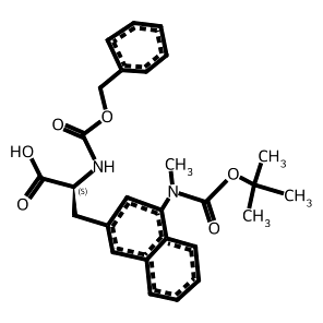 CN(C(=O)OC(C)(C)C)c1cc(C[C@H](NC(=O)OCc2ccccc2)C(=O)O)cc2ccccc12